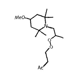 COC1CC(C)(C)N(CC(C)OOCCC(C)=O)C(C)(C)C1